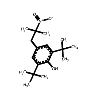 CC(C)(C)c1cc(CC(C)(C)[N+](=O)[O-])cc(C(C)(C)C)c1O